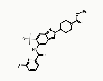 CC(C)(C)OC(=O)N1CCC(n2cc3cc(NC(=O)c4cccc(C(F)(F)F)n4)c(C(C)(C)O)cc3n2)CC1